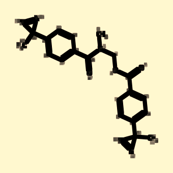 CN(COC(=O)c1ccc(C2(C(F)(F)F)N=N2)cc1)C(=O)c1ccc(C2(C(F)(F)F)N=N2)cc1